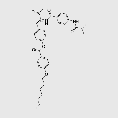 CCCCCCCOc1ccc(C(=O)Oc2ccc(C[C@H](NC(=O)c3ccc(NC(=O)C(C)C)cc3)C(C)=O)cc2)cc1